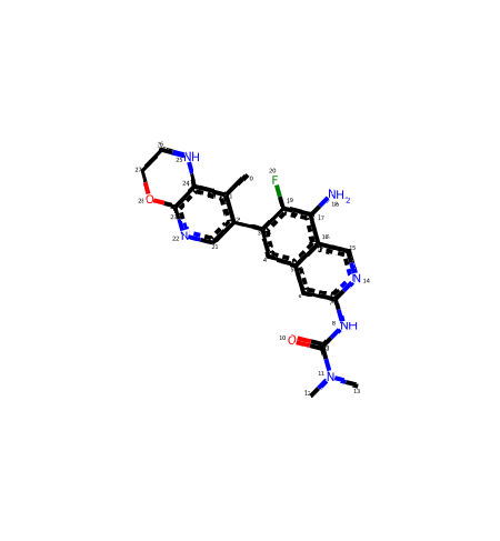 Cc1c(-c2cc3cc(NC(=O)N(C)C)ncc3c(N)c2F)cnc2c1NCCO2